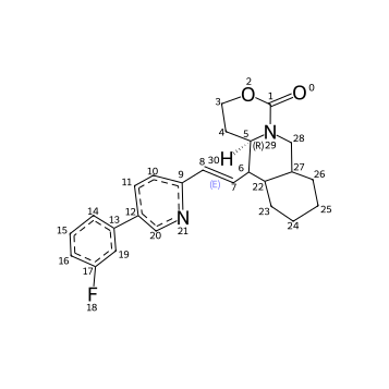 O=C1OCC[C@@H]2C(/C=C/c3ccc(-c4cccc(F)c4)cn3)C3CCCCC3CN12